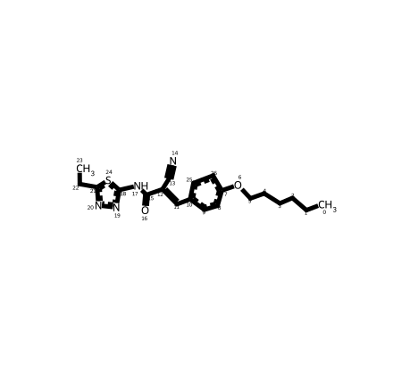 CCCCCCOc1ccc(/C=C(\C#N)C(=O)Nc2nnc(CC)s2)cc1